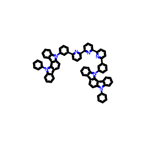 c1ccc(-n2c3ccccc3c3c2ccc2c4ccccc4n(-c4cccc(-c5cccc(-c6cccc(-c7cccc(-c8cccc(-n9c%10ccccc%10c%10c9ccc9c%11ccccc%11n(-c%11ccccc%11)c9%10)c8)n7)n6)n5)c4)c23)cc1